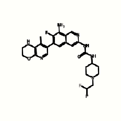 Cc1c(-c2cc3cc(NC(=O)NC4CCN(CC(F)F)CC4)ncc3c(N)c2F)cnc2c1NCCO2